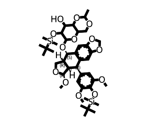 COc1cc([C@@H]2c3cc4c(cc3[C@@H](OC3OC5COC(C)OC5C(O)C3O[Si](C)(C)C(C)(C)C)[C@H]3CO[C@@H](OC)[C@H]23)OCO4)cc(OC)c1O[Si](C)(C)C(C)(C)C